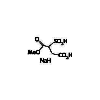 COC(=O)C(CC(=O)O)S(=O)(=O)O.[NaH]